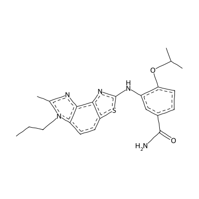 CCCn1c(C)nc2c3nc(Nc4cc(C(N)=O)ccc4OC(C)C)sc3ccc21